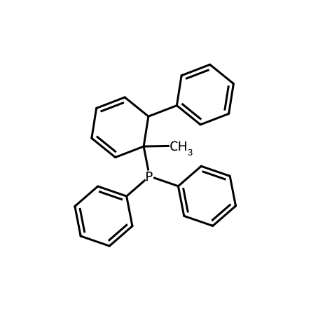 CC1(P(c2ccccc2)c2ccccc2)C=CC=CC1c1ccccc1